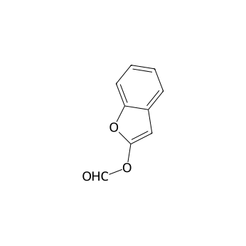 O=COc1cc2ccccc2o1